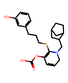 O=C(O)OC1=C(SCCCc2cccc(O)c2)N(CC2CC3CCC2C3)CC=C1